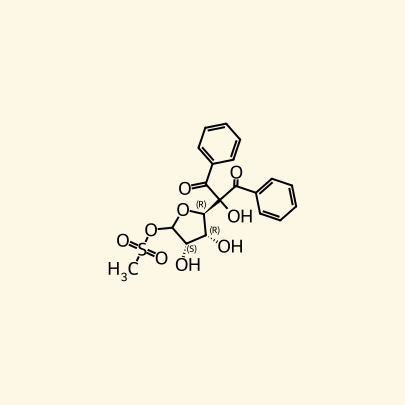 CS(=O)(=O)OC1O[C@@H](C(O)(C(=O)c2ccccc2)C(=O)c2ccccc2)[C@H](O)[C@@H]1O